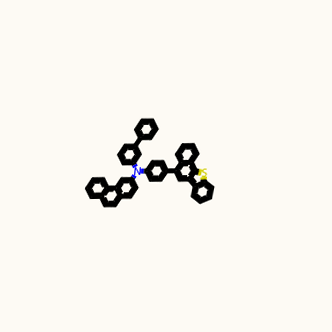 c1ccc(-c2cccc(N(c3ccc(-c4cc5c6ccccc6sc5c5ccccc45)cc3)c3ccc4ccc5ccccc5c4c3)c2)cc1